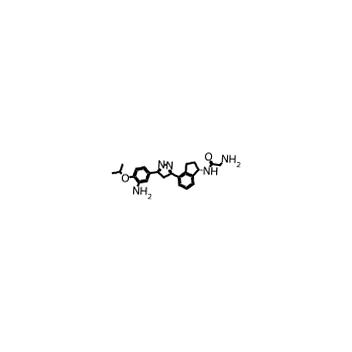 CC(C)Oc1ccc(C2=NN=C(c3cccc4c3CC[C@@H]4NC(=O)CN)C2)cc1N